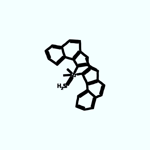 CC1=[C]([Zr]([CH3])([CH3])(=[SiH2])[C]2=C(C)Cc3ccc4ccccc4c32)c2c(ccc3ccccc23)C1